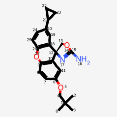 CC(C)(C)COc1ccc2c(c1)[C@]1(COC(N)=N1)c1cc(C3CC3)ccc1O2